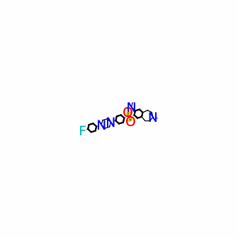 CN1CCc2cc(N(C)C)c(S(=O)(=O)c3ccc(N4CCN(c5ccc(F)cc5)CC4)cc3)cc2CC1